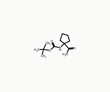 CC(C)(C)OC(=O)NC1(C(N)=O)CCCC1